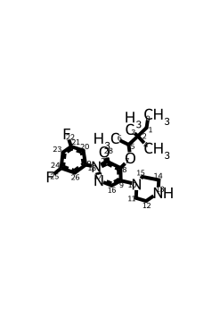 CCC(C)(C)C(C)Oc1c(N2CCNCC2)cnn(-c2cc(F)cc(F)c2)c1=O